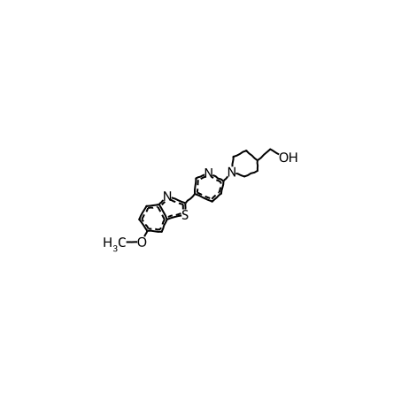 COc1ccc2nc(-c3ccc(N4CCC(CO)CC4)nc3)sc2c1